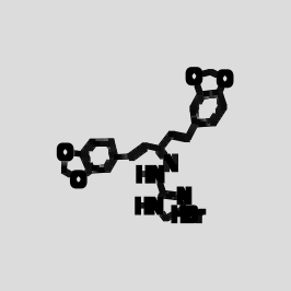 Br.C(=Cc1ccc2c(c1)OCO2)C(C=Cc1ccc2c(c1)OCO2)=NNC1=NCCN1